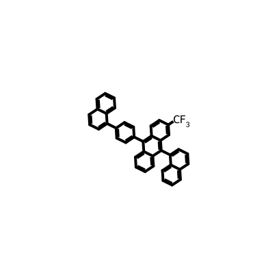 FC(F)(F)c1ccc2c(-c3ccc(-c4cccc5ccccc45)cc3)c3ccccc3c(-c3cccc4ccccc34)c2c1